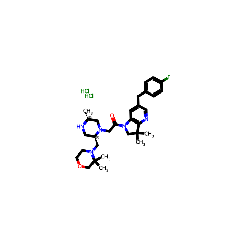 C[C@@H]1CN(CC(=O)N2CC(C)(C)c3ncc(Cc4ccc(F)cc4)cc32)[C@@H](CN2CCOCC2(C)C)CN1.Cl.Cl